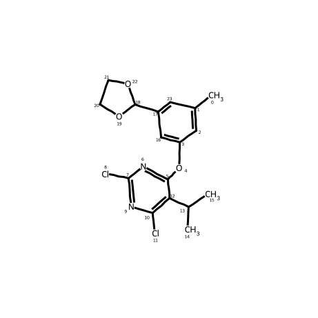 Cc1cc(Oc2nc(Cl)nc(Cl)c2C(C)C)cc(C2OCCO2)c1